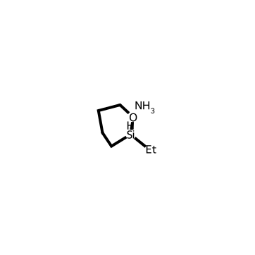 CC[SiH]1CCCCO1.N